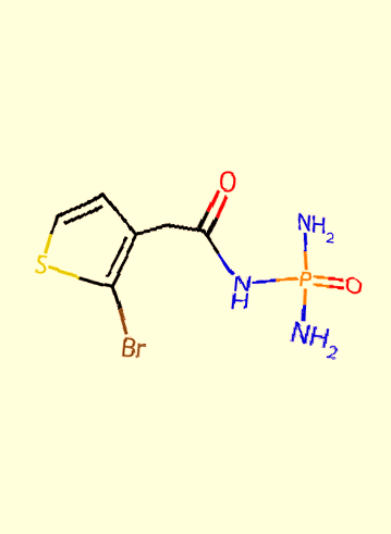 NP(N)(=O)NC(=O)c1ccsc1Br